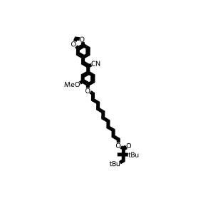 COc1cc(/C(C#N)=C/c2ccc3c(c2)OCO3)ccc1OCCCCCCCCCCCOC(=O)C(C)(CC(C)(C)C)C(C)(C)C